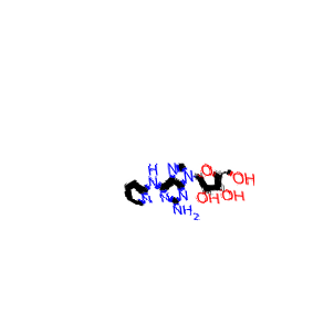 Nc1nc(Nc2ccccn2)c2ncn([C@@H]3O[C@H](CO)[C@H](O)[C@@H]3O)c2n1